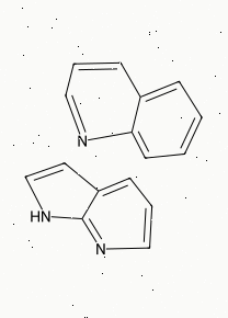 c1ccc2ncccc2c1.c1cnc2[nH]ccc2c1